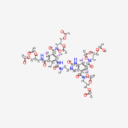 CC(=O)OCCCN(OC(C)=O)C(=O)c1c(I)c(NC(=O)N(C)CCN(C)C(=O)Nc2c(I)c(C(=O)N(CCCOC(C)=O)OC(C)=O)c(I)c(C(=O)N(CCCOC(C)=O)OC(C)=O)c2I)c(I)c(C(=O)NCC(COC(C)=O)OC(C)=O)c1I